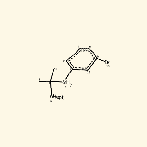 CCCCCCCC(C)(C)[SiH2]c1cccc(Br)c1